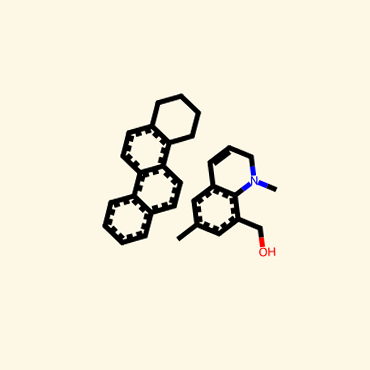 Cc1cc2c(c(CO)c1)N(C)CC=C2.c1ccc2c(c1)ccc1c3c(ccc12)CCCC3